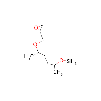 CC(CCC(C)OCC1CO1)O[SiH3]